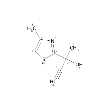 C#CC(C)(O)c1nc(C)cs1